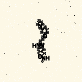 CNC(=O)Cc1ccc2[nH]c(CCCOc3cccc(CN4CCCC4)c3)nc2c1